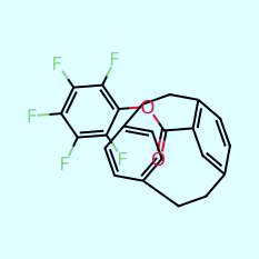 O=C(Oc1c(F)c(F)c(F)c(F)c1F)c1cc2ccc1CCc1ccc(cc1)CC2